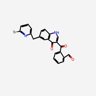 O=Cc1ccccc1C(=O)c1c[nH]c2ccc(Cc3cccc(Br)n3)cc2c1=O